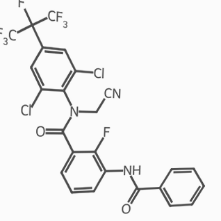 N#CCN(C(=O)c1cccc(NC(=O)c2ccccc2)c1F)c1c(Cl)cc(C(F)(C(F)(F)F)C(F)(F)F)cc1Cl